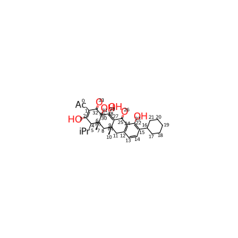 CC(=O)C1=C(O)C(C(C)C)[C@@]2(C)C[C@@]3(C)Cc4ccc(C5CCCCC5)c(O)c4C(=O)C3=C(O)[C@@]2(O)C1=O